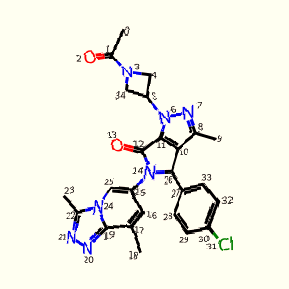 CC(=O)N1CC(n2nc(C)c3c2C(=O)N(c2cc(C)c4nnc(C)n4c2)C3c2ccc(Cl)cc2)C1